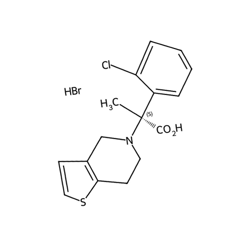 Br.C[C@@](C(=O)O)(c1ccccc1Cl)N1CCc2sccc2C1